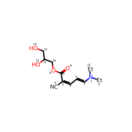 CCN(/C=C/C=C(/C#N)C(=O)OCC(O)CO)CC